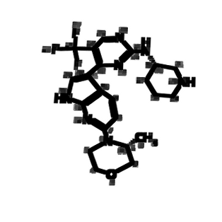 C[C@@H]1COCCN1c1ccc2c(-c3nc(N[C@H]4CCCNC4)ncc3C(F)(F)F)c[nH]c2n1